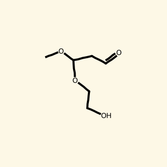 COC(CC=O)OCCO